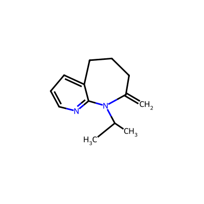 C=C1CCCc2cccnc2N1C(C)C